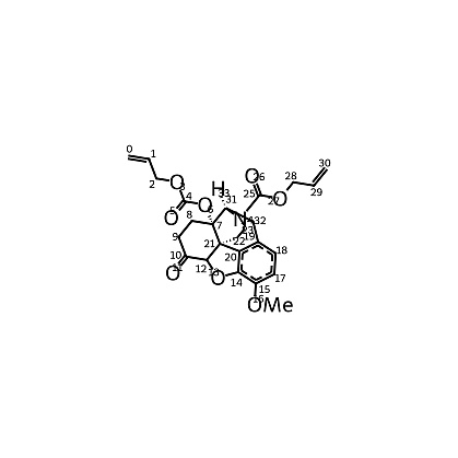 C=CCOC(=O)O[C@@]12CCC(=O)C3Oc4c(OC)ccc5c4[C@@]31CCN(C(=O)OCC=C)[C@@H]2C5